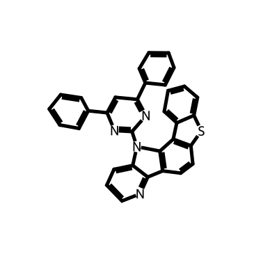 c1ccc(-c2cc(-c3ccccc3)nc(-n3c4cccnc4c4ccc5sc6ccccc6c5c43)n2)cc1